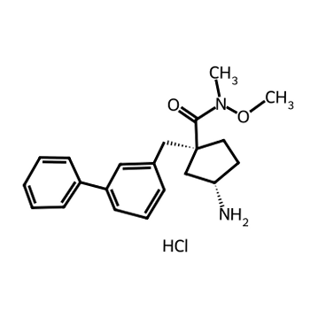 CON(C)C(=O)[C@@]1(Cc2cccc(-c3ccccc3)c2)CC[C@H](N)C1.Cl